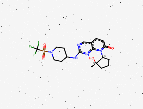 C[C@]1(O)CCC[C@@H]1n1c(=O)ccc2cnc(NC3CCN(S(=O)(=O)C(F)(F)F)CC3)nc21